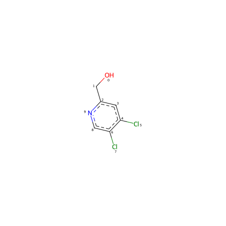 OCc1cc(Cl)c(Cl)cn1